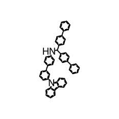 c1ccc(-c2ccc(C(Nc3ccc(-c4cccc(-n5c6ccccc6c6ccccc65)c4)cc3)c3ccc(-c4ccccc4)cc3)cc2)cc1